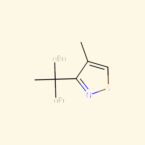 CCCCC(C)(CCC)c1nscc1C